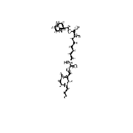 CCCN1CCN(C)C(COC(=O)NCCCCCCN(C)C(=O)OCC2CN3CCN2CC3)C1